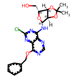 CC1(C)O[C@@H]2[C@H](O1)[C@@H](CO)O[C@H]2Nc1nc(Cl)nc2c(OCc3ccccc3)ncnc12